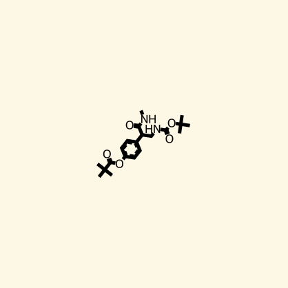 CNC(=O)C(CNC(=O)OC(C)(C)C)c1ccc(OC(=O)C(C)(C)C)cc1